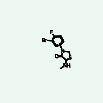 CNC1SCN(c2ccc(F)c(Br)c2)C1=O